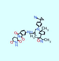 Cc1ccc(-c2c(C)noc2C)cc1N(C[C@H]1CC1CNc1ccc2c(c1)C(=O)N(C1CCC(=O)NC1=O)C2=O)c1ccc(C2(C#N)CC2)cc1